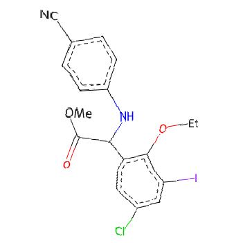 [CH2]COc1c(I)cc(Cl)cc1C(Nc1ccc(C#N)cc1)C(=O)OC